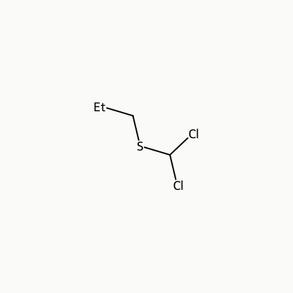 CCCSC(Cl)Cl